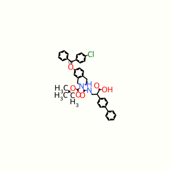 CC(C)(C)OC(=O)[N+]1(C(=O)NCC(C(=O)O)c2ccc(-c3ccccc3)cc2)CCc2ccc(O[C@@H](c3ccccc3)c3ccc(Cl)cc3)cc2C1